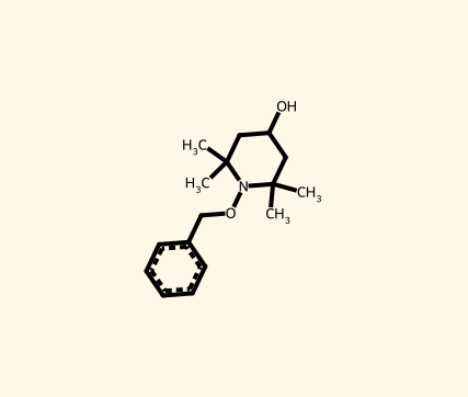 CC1(C)CC(O)CC(C)(C)N1OCc1ccccc1